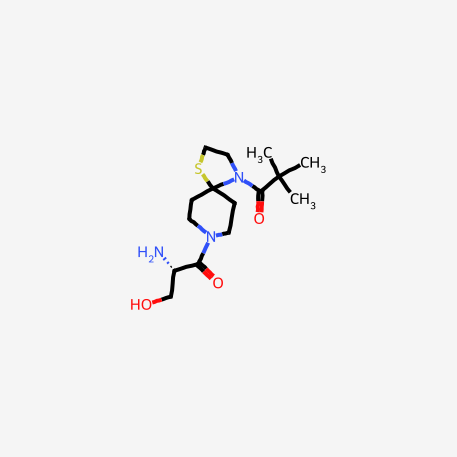 CC(C)(C)C(=O)N1CCSC12CCN(C(=O)[C@@H](N)CO)CC2